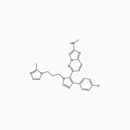 CNc1cn2nc(-c3c(-c4ccc(F)cc4)ncn3CCCn3ccnc3C)ccc2n1